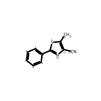 Cc1sc(-c2ccccc2)nc1C#N